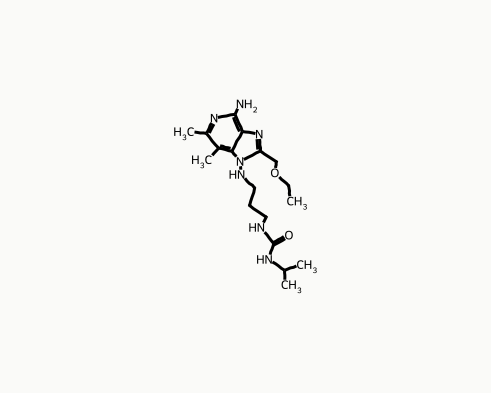 CCOCc1nc2c(N)nc(C)c(C)c2n1NCCCNC(=O)NC(C)C